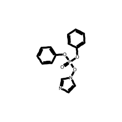 O=P(Oc1ccccc1)(Oc1ccccc1)On1ccnc1